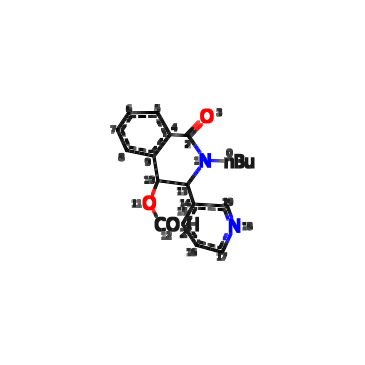 CCCCN1C(=O)c2ccccc2C(OC(=O)O)C1c1cccnc1